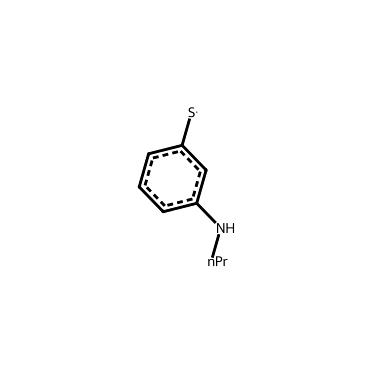 CCCNc1cccc([S])c1